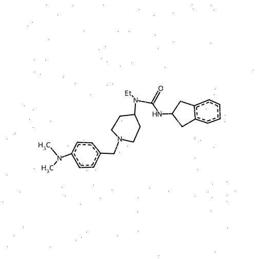 CCN(C(=O)NC1Cc2ccccc2C1)C1CCN(Cc2ccc(N(C)C)cc2)CC1